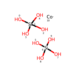 O[Si](O)(O)O.O[Si](O)(O)O.[Co]